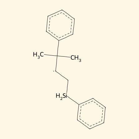 CC(C)([CH]C[SiH2]c1ccccc1)c1ccccc1